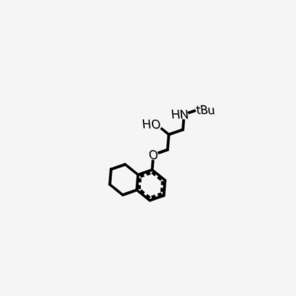 CC(C)(C)NCC(O)COc1cccc2c1CCCC2